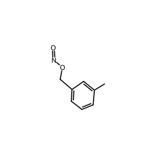 Cc1cccc(CON=O)c1